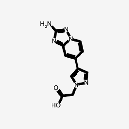 Nc1nc2cc(-c3cnn(CC(=O)O)c3)ccn2n1